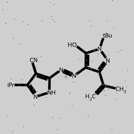 C=C(C)c1nn(C(C)(C)C)c(O)c1/N=N/c1[nH]nc(C(C)C)c1C#N